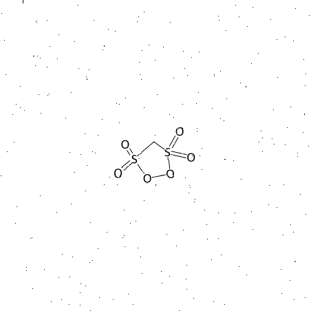 O=S1(=O)CS(=O)(=O)OO1